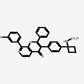 [C-]#[N+]c1cccc(-c2nccc3c(=O)c(-c4ccc(C5(NC(=O)O)CCC5)cc4)c(-c4ccccc4)oc23)c1